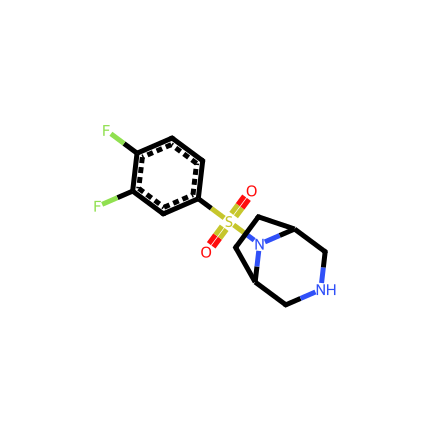 O=S(=O)(c1ccc(F)c(F)c1)N1C2CCC1CNC2